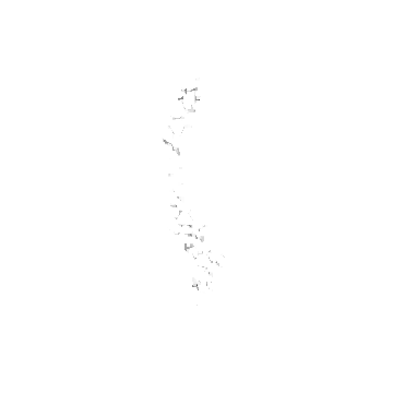 CCc1cc(Nc2cc3onc(NS(=O)(=O)c4ccc(C(=O)NCCCCCNC(=O)c5ccc(-c6nnc(C)nn6)cc5)cc4OC)c3cc2OC)[nH]n1